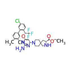 CCOC(=O)[C@@H]1CC2(CCN(c3cc(O[C@H](c4ccc(Cl)cc4-c4ccc(C)c(C)c4)C(F)(F)F)nc(N)n3)CC2)CN1